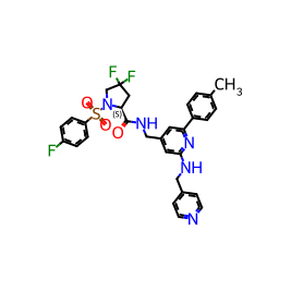 Cc1ccc(-c2cc(CNC(=O)[C@@H]3CC(F)(F)CN3S(=O)(=O)c3ccc(F)cc3)cc(NCc3ccncc3)n2)cc1